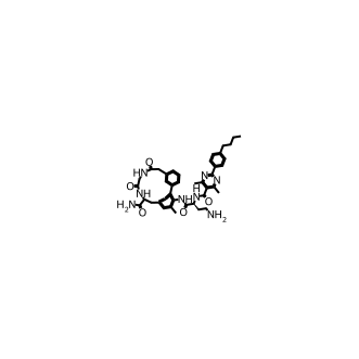 CCCCc1ccc(-c2nc(C)c(C(=O)N[C@@H](CCN)C(=O)Nc3c(C)cc4cc3-c3cccc(c3)CC(=O)NCC(=O)NC(C(N)=O)C4)c(C)n2)cc1